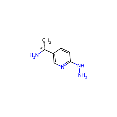 C[C@@H](N)c1ccc(NN)nc1